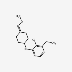 CCc1ncnc(NC2CCC(=NOC)CC2)c1Cl